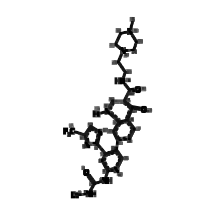 CCNC(=O)Nc1cc(-c2nc(C(F)(F)F)cs2)c(-c2ccc3c(=O)c(C(=O)NCCN4CCN(C)CC4)cn(CC)c3c2)cn1